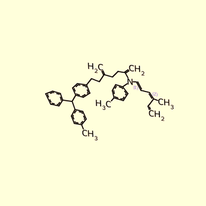 C=C/C(C)=C\C=C\N(C(=C)CCC(=C)CCc1ccc(C(c2ccccc2)c2ccc(C)cc2)cc1)c1ccc(C)cc1